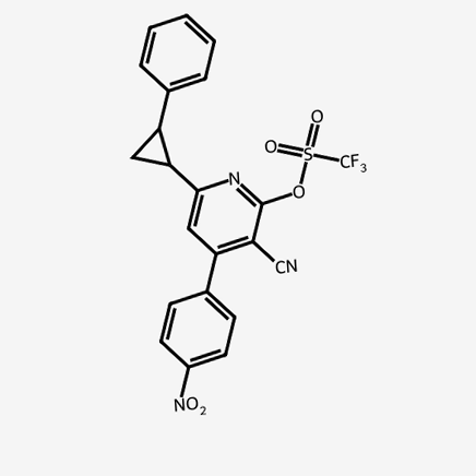 N#Cc1c(-c2ccc([N+](=O)[O-])cc2)cc(C2CC2c2ccccc2)nc1OS(=O)(=O)C(F)(F)F